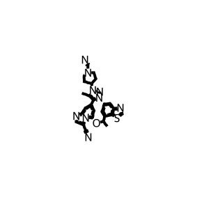 Cc1c(-c2cc(OC(C)c3cccc4ncsc34)n3c(C#N)cnc3c2)nnn1C1CCN(C#N)CC1